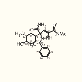 CNC(=O)C1=CC(C(N)=O)([C@H]2CC[C@@H](O)[C@H](C)C2)N([C@@H](C)c2ccccc2)N1